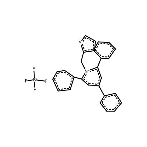 F[B-](F)(F)F.c1ccc(-c2cc(-c3ccccc3)[n+](Cc3cccs3)c(-c3ccccc3)c2)cc1